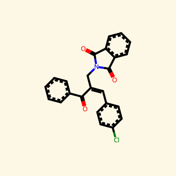 O=C(C(=Cc1ccc(Cl)cc1)CN1C(=O)c2ccccc2C1=O)c1ccccc1